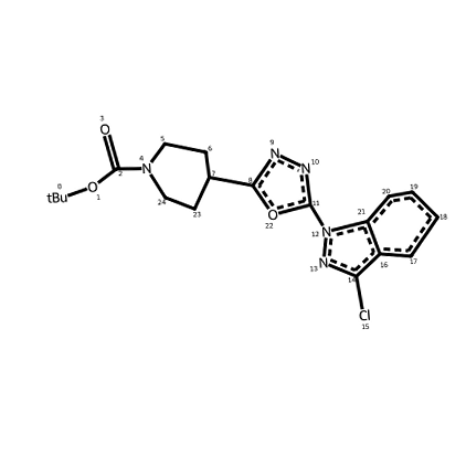 CC(C)(C)OC(=O)N1CCC(c2nnc(-n3nc(Cl)c4ccccc43)o2)CC1